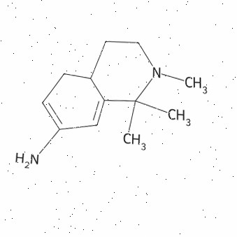 CN1CCC2CC=C(N)C=C2C1(C)C